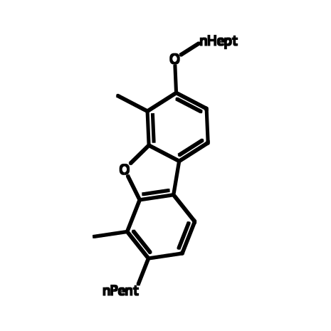 CCCCCCCOc1ccc2c(oc3c(C)c(CCCCC)ccc32)c1C